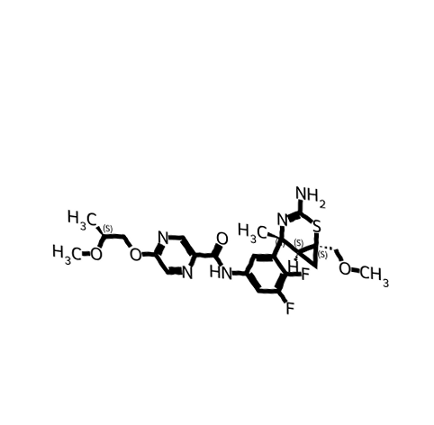 COC[C@]12C[C@H]1[C@](C)(c1cc(NC(=O)c3cnc(OC[C@H](C)OC)cn3)cc(F)c1F)N=C(N)S2